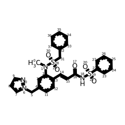 CN(c1cc(Cn2cccn2)ccc1/C=C/C(=O)NS(=O)(=O)c1ccccc1)S(=O)(=O)Cc1ccccc1